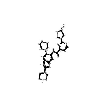 O=C(Nc1cc2sc(N3CCOCC3)nc2nc1N1CCCCC1)c1ccnc(N2CC[C@H](O)C2)n1